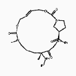 CC(C)N[C@]1(C)CCCN(C)C(=O)OC/C=C/COC(=O)N2CC[C@@](C(=O)C(C)C)(C2)NCC1=O